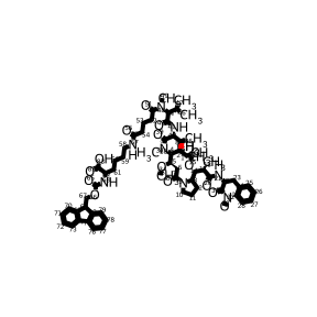 CCC(C)C([C@@H](CC(=O)N1CCCC1[C@H](OC)[C@@H](C)C(=O)NC(Cc1ccccc1)C(=O)N=O)OC)N(C)C(=O)[C@@H](NC(=O)C(C(C)C)N(C)C(=O)CCCC(=O)NCCCCC(NC(=O)OCC1c2ccccc2-c2ccccc21)C(=O)O)C(C)C